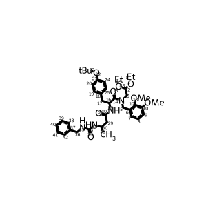 CCOC(CN(Cc1cccc(OC)c1OC)C(=O)C(Cc1ccc(OC(C)(C)C)cc1)NC(=O)CC(C)NC(=O)NCc1ccccc1)OCC